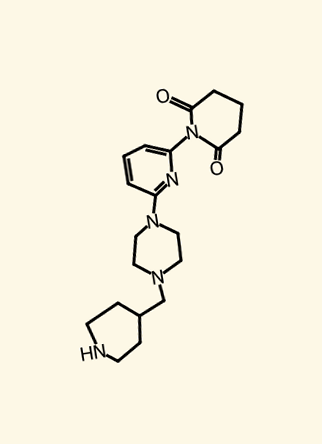 O=C1CCCC(=O)N1c1cccc(N2CCN(CC3CCNCC3)CC2)n1